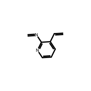 C=Cc1cccnc1N=C